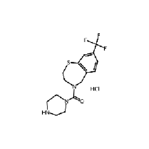 Cl.O=C(N1CCNCC1)N1CCSc2cc(C(F)(F)F)ccc2C1